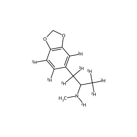 [2H]c1c([2H])c(C([2H])([2H])C(N([2H])C)C([2H])([2H])[2H])c([2H])c2c1OCO2